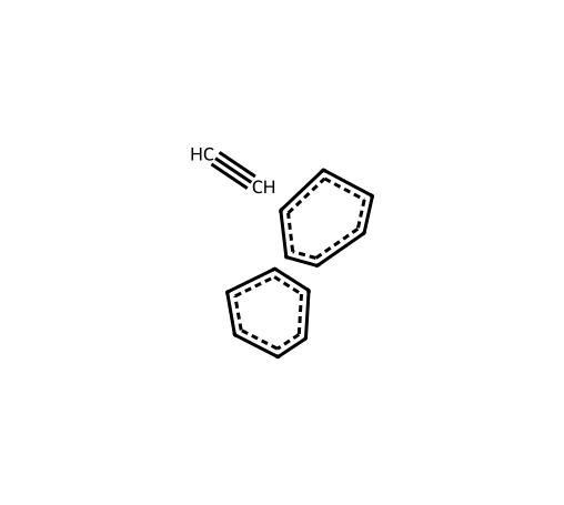 C#C.c1ccccc1.c1ccccc1